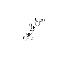 O=C1O[C@@H](CNC(=O)C(F)(F)F)CN1c1ccc(O)c(F)c1